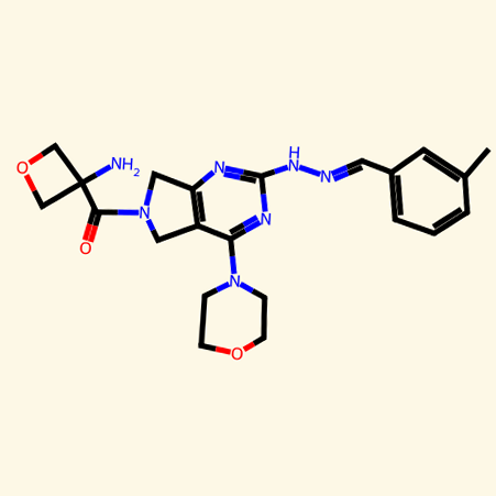 Cc1cccc(/C=N/Nc2nc3c(c(N4CCOCC4)n2)CN(C(=O)C2(N)COC2)C3)c1